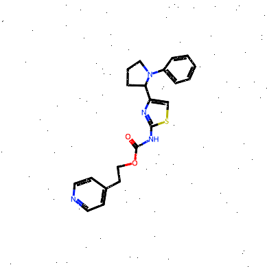 O=C(Nc1nc(C2CCCN2c2ccccc2)cs1)OCCc1ccncc1